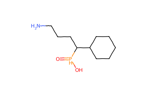 NCCCC(C1CCCCC1)[PH](=O)O